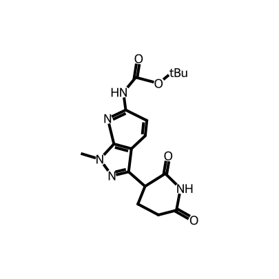 Cn1nc(C2CCC(=O)NC2=O)c2ccc(NC(=O)OC(C)(C)C)nc21